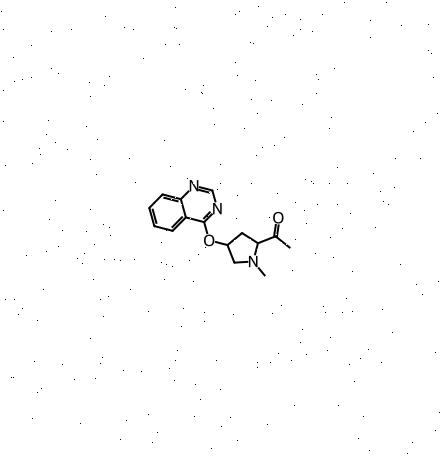 CC(=O)C1CC(Oc2ncnc3ccccc23)CN1C